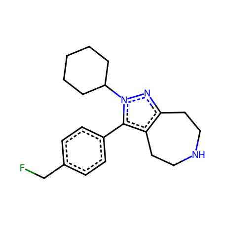 FCc1ccc(-c2c3c(nn2C2CCCCC2)CCNCC3)cc1